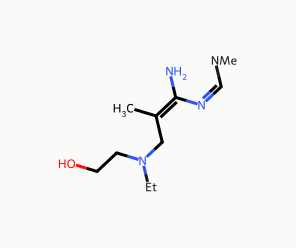 CCN(CCO)C/C(C)=C(N)\N=C/NC